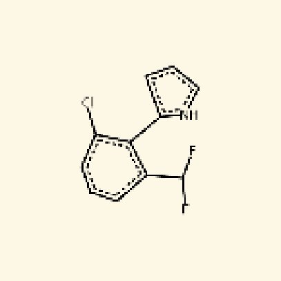 FC(F)c1cccc(Cl)c1-c1ccc[nH]1